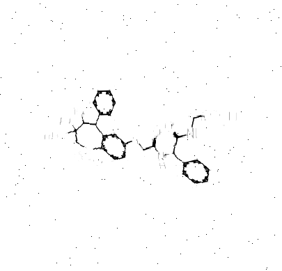 CCCCC1(CC)CS(=O)(=O)c2ccc(SCC(=O)N[C@@H](C(=O)NCC(=O)O)c3ccccc3)cc2C(c2ccccc2)C1O